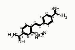 C#N.N=C(N)c1ccc(C=Cc2ccc(C(=N)N)cc2O)cc1